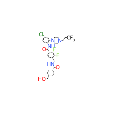 O=C(Nc1ccc(Cl)cc1N1CCN(CCC(F)(F)F)CC1)c1ccc(CNC(=O)[C@H]2CC[C@H](CO)CC2)c(F)c1F